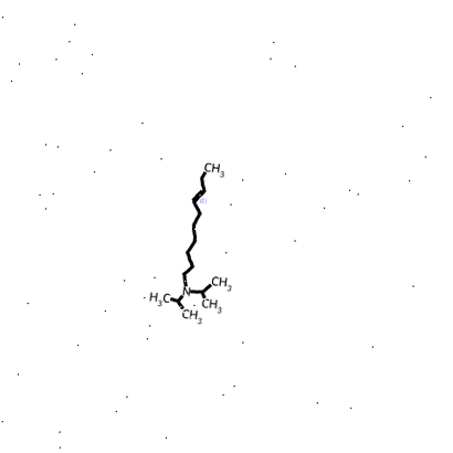 CC/C=C/CCCCCCN(C(C)C)C(C)C